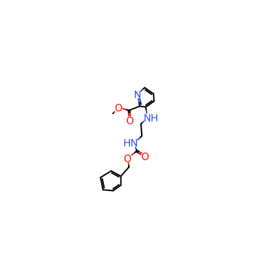 COC(=O)c1ncccc1NCCNC(=O)OCc1ccccc1